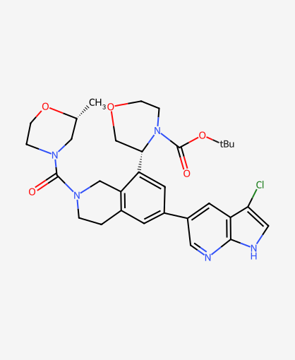 C[C@@H]1CN(C(=O)N2CCc3cc(-c4cnc5[nH]cc(Cl)c5c4)cc([C@@H]4COCCN4C(=O)OC(C)(C)C)c3C2)CCO1